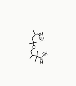 CC(CC(C)(C)OCC(C)C(C)(C)NS)NS